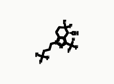 O[C@@H]1c2c(C(F)(F)F)nn(CCCC(F)(F)F)c2CCC1(F)F